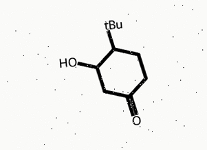 CC(C)(C)C1CCC(=O)CC1O